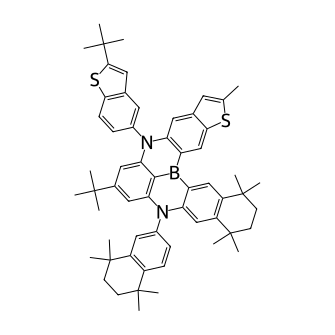 Cc1cc2cc3c(cc2s1)B1c2cc4c(cc2N(c2ccc5c(c2)C(C)(C)CCC5(C)C)c2cc(C(C)(C)C)cc(c21)N3c1ccc2sc(C(C)(C)C)cc2c1)C(C)(C)CCC4(C)C